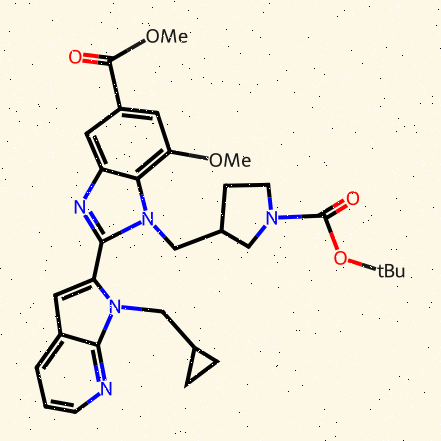 COC(=O)c1cc(OC)c2c(c1)nc(-c1cc3cccnc3n1CC1CC1)n2CC1CCN(C(=O)OC(C)(C)C)C1